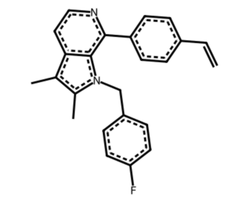 C=Cc1ccc(-c2nccc3c(C)c(C)n(Cc4ccc(F)cc4)c23)cc1